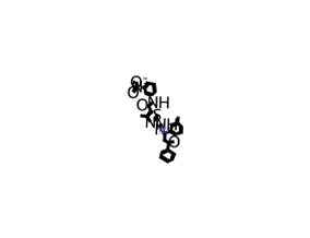 Cc1ccc2c(c1)/C(=N\Nc1nc(C)c(C(=O)Nc3cccc([N+](=O)[O-])c3)s1)CC(c1ccccc1)O2